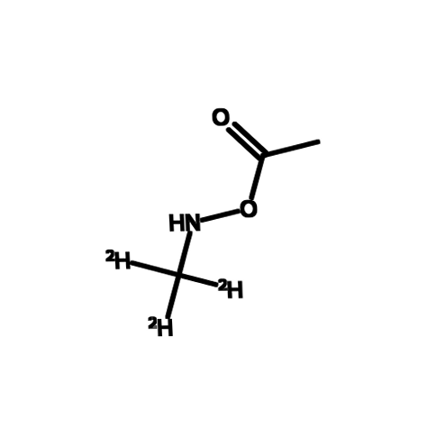 [2H]C([2H])([2H])NOC(C)=O